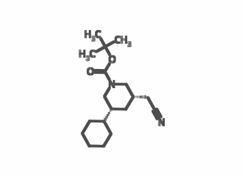 CC(C)(C)OC(=O)N1C[C@H](CC#N)C[C@H](C2CCCCC2)C1